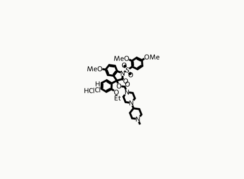 CCOc1ccccc1C1(OC(=O)N2CCN(C3CCN(C)CC3)CC2)C(=O)N(S(=O)(=O)c2ccc(OC)cc2OC)c2ccc(OC)cc21.Cl.Cl